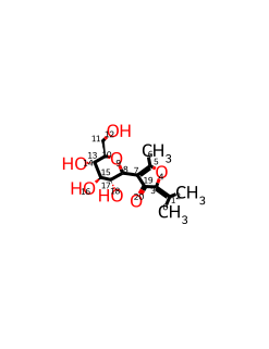 CC(C)=C1OC(C)=C(C2O[C@H](CO)[C@@H](O)[C@H](O)[C@H]2O)C1=O